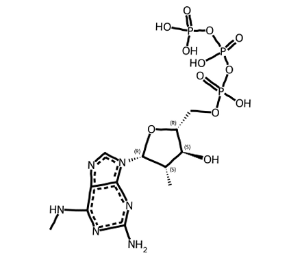 CNc1nc(N)nc2c1ncn2[C@@H]1O[C@H](COP(=O)(O)OP(=O)(O)OP(=O)(O)O)[C@@H](O)[C@@H]1C